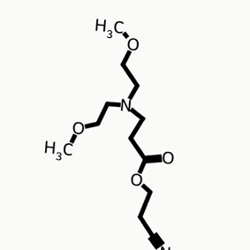 COCCN(CCOC)CCC(=O)OCCC#N